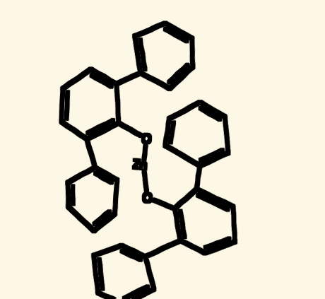 c1ccc(-c2cccc(-c3ccccc3)c2[O][Zn][O]c2c(-c3ccccc3)cccc2-c2ccccc2)cc1